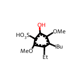 CCc1c(OC)c(S(=O)(=O)O)c(O)c(OC)c1C(C)CC